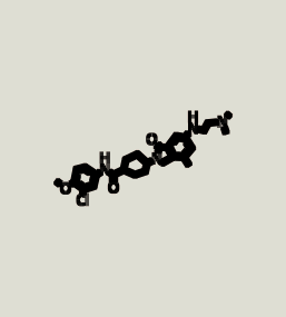 COc1ccc(NC(=O)C2CCC(N3Cc4c(C)cc(NCCN(C)C)cc4C3=O)CC2)cc1Cl